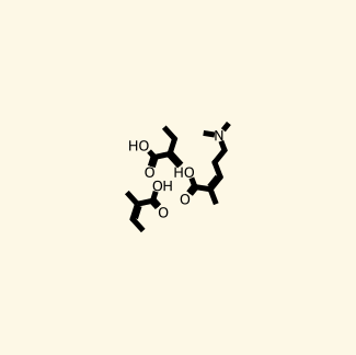 C=C(CC)C(=O)O.CC(=CCCN(C)C)C(=O)O.CC=C(C)C(=O)O